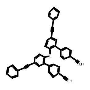 C#Cc1ccc(-c2cc(C#Cc3ccccc3)ccc2Oc2ccc(C#Cc3ccccc3)cc2-c2ccc(C#C)cc2)cc1